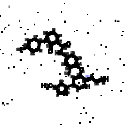 Cn1cnc(C2=CN/C(=C\C=N)C(Oc3ccc(NC(=O)c4cccn(-c5ccc(F)cc5)c4=O)cc3F)=C2)c1